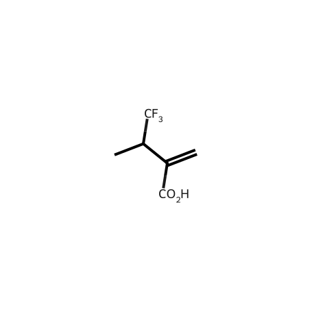 C=C(C(=O)O)C(C)C(F)(F)F